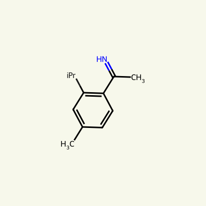 CC(=N)c1ccc(C)cc1C(C)C